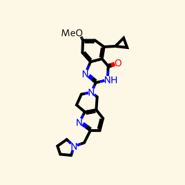 COc1cc(C2CC2)c2c(=O)[nH]c(N3CCc4nc(CN5CCCC5)ccc4C3)nc2c1